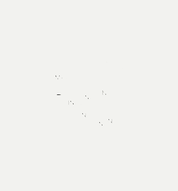 COC[C@H](C)Nc1nc2c3c(n[nH]c3n1)CCN2Cc1ccccc1